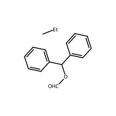 CCC.O=COC(c1ccccc1)c1ccccc1